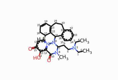 CCN(CC)CCC1N(C)C(=O)c2c(O)c(=O)ccn2N1C1C2=C(C=CCC2C)CCc2ccccc21